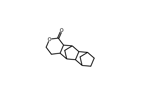 O=C1OCCC2C3CC(C12)C1C2CCC(C2)C31